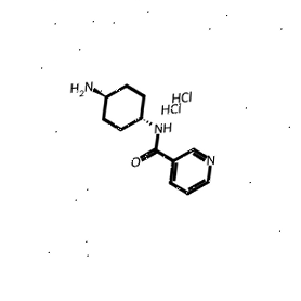 Cl.Cl.N[C@H]1CC[C@H](NC(=O)c2cccnc2)CC1